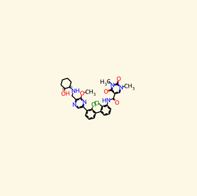 COc1nc(-c2cccc(-c3cccc(NC(=O)c4cn(C)c(=O)n(C)c4=O)c3Cl)c2Cl)cnc1CN[C@@H]1CCCC[C@@H]1O